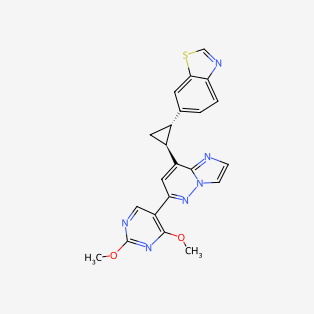 COc1ncc(-c2cc([C@H]3C[C@@H]3c3ccc4ncsc4c3)c3nccn3n2)c(OC)n1